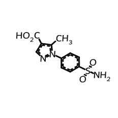 Cc1c(C(=O)O)cnn1-c1ccc(S(N)(=O)=O)cc1